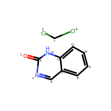 ClCCl.O=c1ncc2ccccc2[nH]1